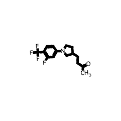 CC(=O)CCC1CCN(c2ccc(C(F)(F)F)c(F)c2)C1